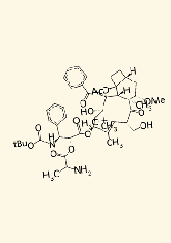 CO[C@H]1C[C@H]2CC[C@@]2(OC(C)=O)[C@H]2[C@H](OC(=O)c3ccccc3)[C@]3(O)C[C@H](OC(=O)[C@H](OC(=O)C(C)N)[C@@H](NC(=O)OC(C)(C)C)c4ccccc4)C(C)=C([C@@H](CO)C(=O)[C@]12C)C3(C)C